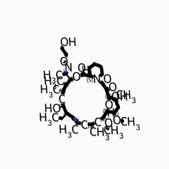 CC[C@@H]1/C=C(\C)C[C@H](C)C[C@H](OC)[C@H]2O[C@@](O)(C(=O)C(=O)N3CCCC[C@H]3C(=O)O[C@H](/C(C)=N/OCCO)[C@H](C)[C@@H](C)C[C@H]1O)[C@H](C)C[C@@H]2OC